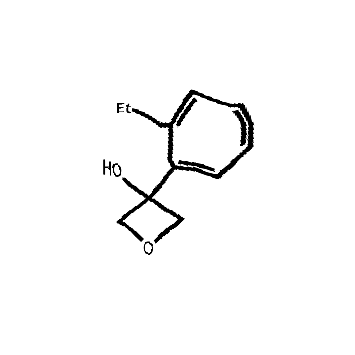 CCc1ccccc1C1(O)COC1